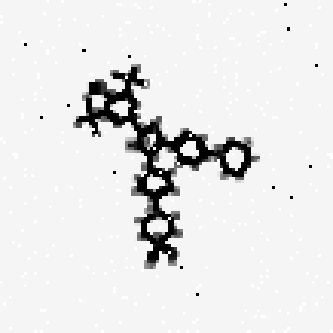 CC(C)(C)c1cc(-c2nc(-c3ccc(N4CCCCC4)cc3)c(-c3ccc(N4CCS(=O)(=O)CC4)cc3)[nH]2)cc(C(C)(C)C)c1O